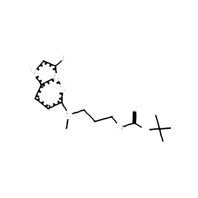 CN(CCCNC(=O)OC(C)(C)C)c1ccc2ncc(Br)n2n1